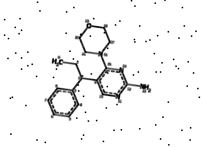 CCC(c1ccccc1)c1cnc(N)nc1N1CCOCC1